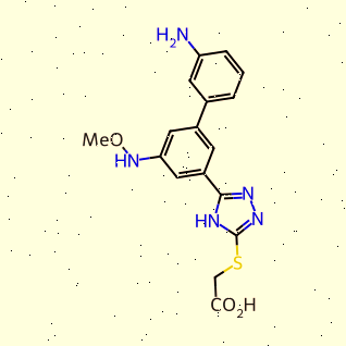 CONc1cc(-c2cccc(N)c2)cc(-c2nnc(SCC(=O)O)[nH]2)c1